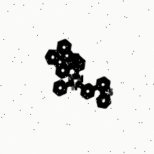 c1ccc(-c2nc(-c3cccc(-c4cccc5sc6ccccc6c45)c3)nc(-c3ccccc3-c3cccc4c3C3(c5ccccc5-c5ccccc53)c3ccccc3-4)n2)cc1